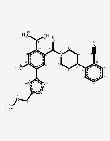 COCc1nnc(-c2cc(C(=O)N3CCC(c4ccccc4C#N)CC3)c(C(C)C)cc2C)[nH]1